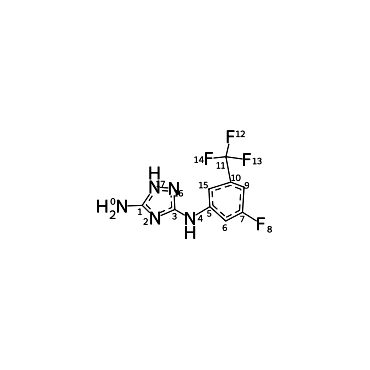 Nc1nc(Nc2cc(F)cc(C(F)(F)F)c2)n[nH]1